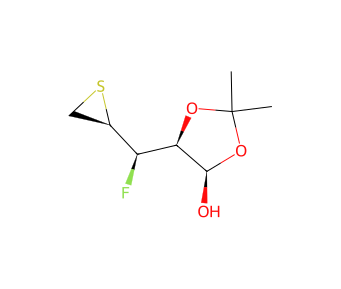 CC1(C)O[C@H]([C@@H](F)[C@H]2CS2)[C@H](O)O1